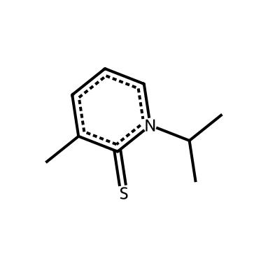 Cc1cccn(C(C)C)c1=S